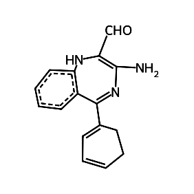 NC1=C(C=O)Nc2ccccc2C(C2=CC=CCC2)=N1